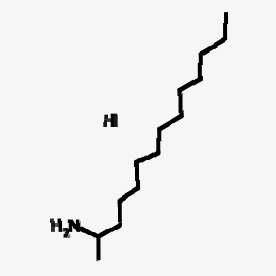 CCCCCCCCCCCCC(C)N.I